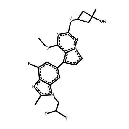 COc1nc(NC2CC(C)(O)C2)nn2ccc(-c3cc(F)c4nc(C)n(CC(F)F)c4c3)c12